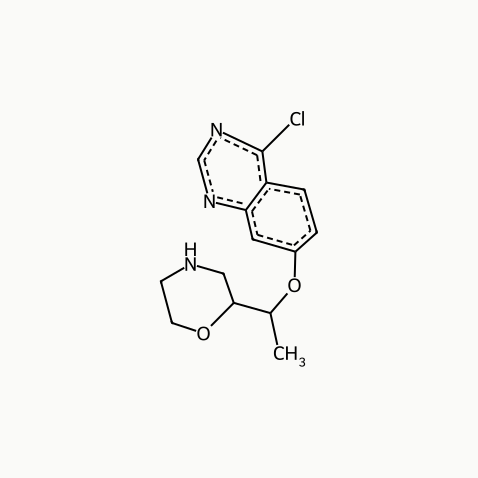 CC(Oc1ccc2c(Cl)ncnc2c1)C1CNCCO1